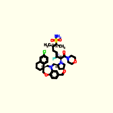 C[C@H]([C@@H](C)C/C=C(\F)[C@H](C(=O)N1CCOCC1)N1CCC[C@H]1CN1C[C@@]2(CCCc3cc(Cl)ccc32)COc2ccc(C=O)cc21)S(N)(=O)=O